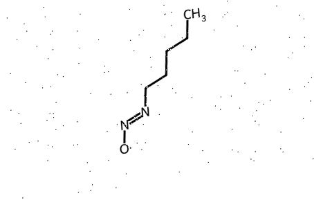 CCCCCN=N[O]